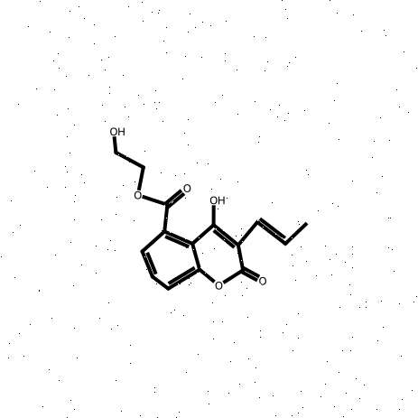 CC=Cc1c(O)c2c(C(=O)OCCO)cccc2oc1=O